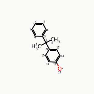 CC(C)(c1cc[c]cc1)c1ccc([O])cc1